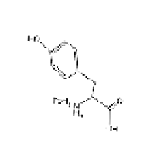 NC(Cc1ccc(O)cc1)C(=O)O.[PbH2]